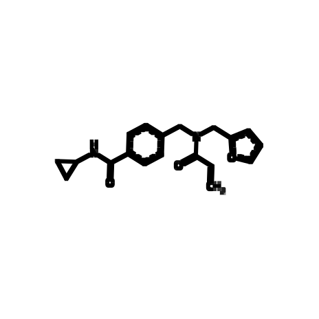 C=CC(=O)N(Cc1ccc(C(=O)NC2CC2)cc1)Cc1ccco1